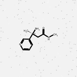 CNC(=O)C[C@](C)(N)c1cccnc1